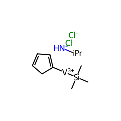 CC(C)[NH-].C[Si](C)(C)[V+3][C]1=CC=CC1.[Cl-].[Cl-]